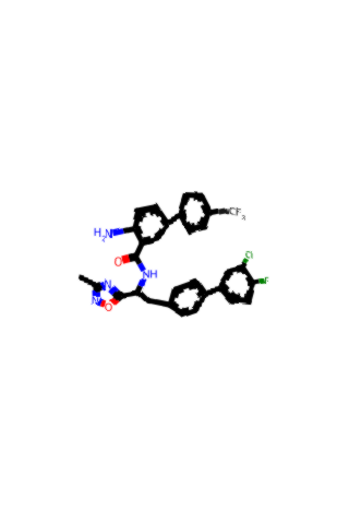 Cc1noc(C(Cc2ccc(-c3ccc(F)c(Cl)c3)cc2)NC(=O)c2cc(-c3ccc(C(F)(F)F)cc3)ccc2N)n1